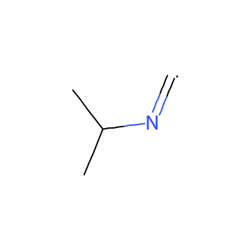 [CH]=NC(C)C